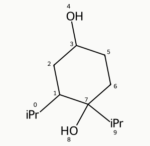 CC(C)C1CC(O)CCC1(O)C(C)C